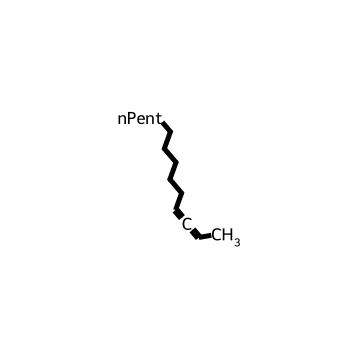 CC=C=CCCCCCCCCCC